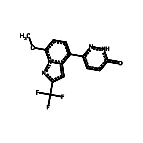 COc1ccc(-c2ccc(=O)[nH]n2)c2cc(C(F)(F)F)nn12